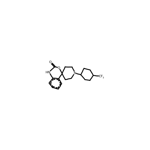 O=C1Nc2ccccc2C2(CCN(C3CCC(C(F)(F)F)CC3)CC2)O1